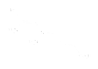 CC(C)/C(N)=C/N(N)CCCC(=O)O